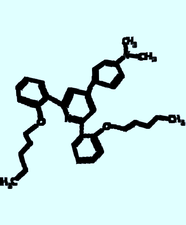 CCCCCOc1ccccc1-c1cc(-c2ccc(N(C)C)cc2)cc(-c2ccccc2OCCCCC)n1